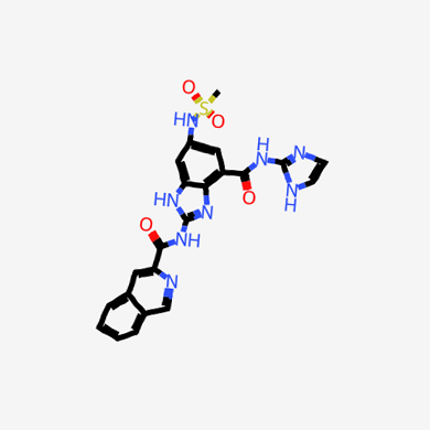 CS(=O)(=O)Nc1cc(C(=O)Nc2ncc[nH]2)c2nc(NC(=O)c3cc4ccccc4cn3)[nH]c2c1